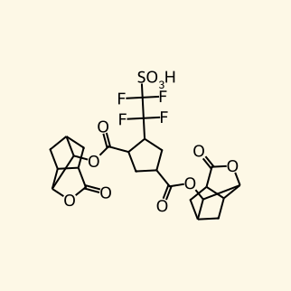 O=C(OC1C2CC3C(=O)OC1C3C2)C1CC(C(=O)OC2C3CC4C(=O)OC2C4C3)C(C(F)(F)C(F)(F)S(=O)(=O)O)C1